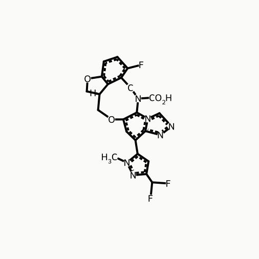 Cn1nc(C(F)F)cc1-c1cc2c(n3cnnc13)N(C(=O)O)Cc1c(F)ccc3c1[C@@H](CO3)CO2